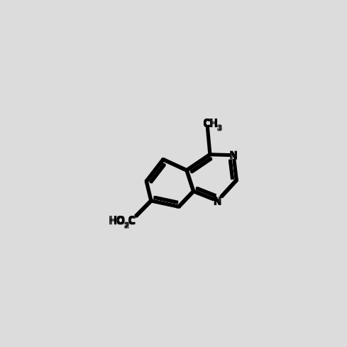 Cc1ncnc2cc(C(=O)O)ccc12